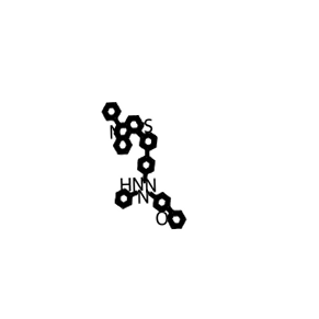 c1ccc(C2=NC(c3ccc4c(c3)oc3ccccc34)=NC(c3ccc(-c4ccc5sc6ccc7c(-c8ccccc8)nc8ccccc8c7c6c5c4)cc3)N2)cc1